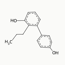 CCCc1c(O)cccc1-c1ccc(O)cc1